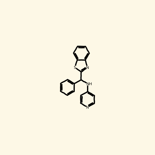 c1ccc(C(Nc2ccncc2)c2nc3ccccc3s2)cc1